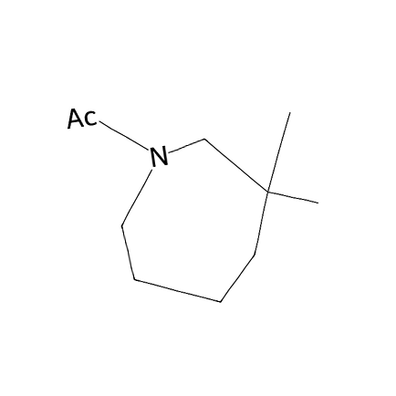 CC(=O)N1CCCCC(C)(C)C1